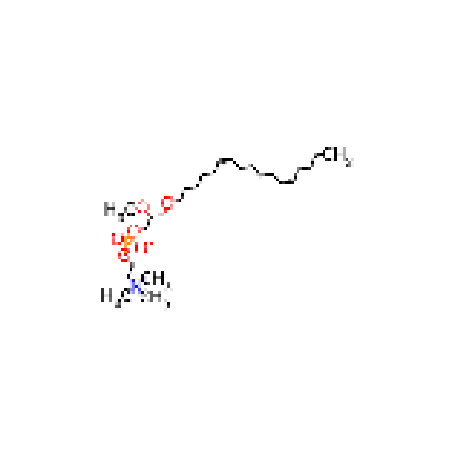 CCCC/C=C\CCCC/C=C\CCCCCOC[C@H](COP(=O)([O-])OCC[N+](C)(C)C)OC